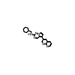 c1cnc2ncc(-c3ccn4nc(NCC5CCCCC5)ncc34)cc2c1